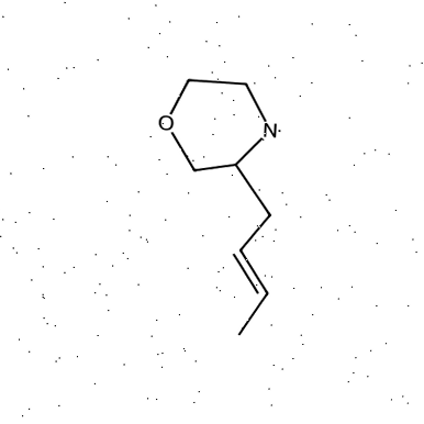 C/C=C/CC1COCC[N]1